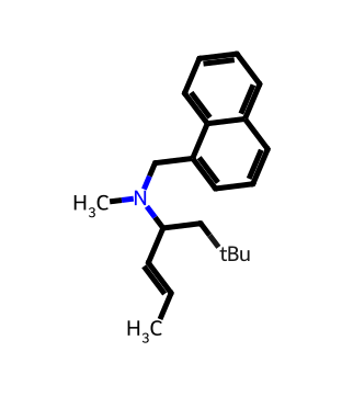 CC=CC(CC(C)(C)C)N(C)Cc1cccc2ccccc12